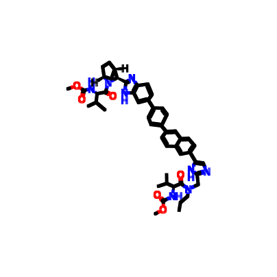 CCCN(Cc1ncc(-c2ccc3cc(-c4ccc(-c5ccc6nc([C@@H]7[C@H]8CC[C@H](C8)N7C(=O)[C@@H](NC(=O)OC)C(C)C)[nH]c6c5)cc4)ccc3c2)[nH]1)C(=O)[C@@H](NC(=O)OC)C(C)C